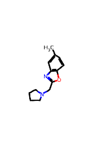 Cc1ccc2oc(CN3CCCC3)nc2c1